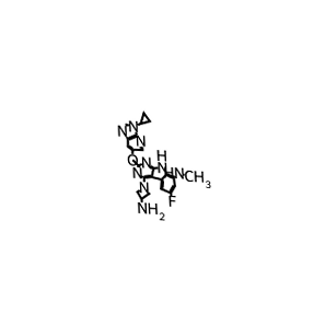 CNc1cc(F)cc2c1[nH]c1nc(Oc3cnc4c(c3)ncn4C3CC3)nc(N3CC(N)C3)c12